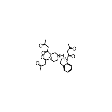 CC(=O)CC(=O)C1CNCCN1C(=O)CC(C)=O.CC(=O)CC(=O)N1CCc2ccccc21